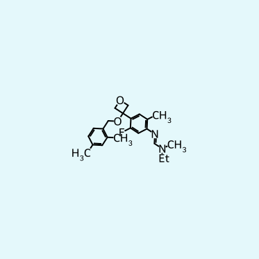 CCN(C)C=Nc1cc(F)c(C2(OCc3ccc(C)cc3C)COC2)cc1C